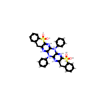 O=S1(=O)c2ccccc2Cc2nc3c(nc21)N(c1ccccc1)c1nc2c(nc1N3c1ccccc1)Cc1ccccc1S2(=O)=O